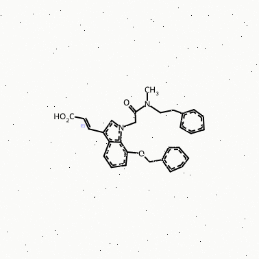 CN(CCc1ccccc1)C(=O)Cn1cc(/C=C/C(=O)O)c2cccc(OCc3ccccc3)c21